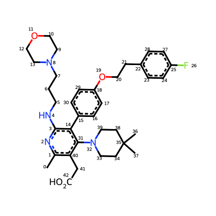 Cc1nc(NCCCN2CCOCC2)c(-c2ccc(OCCc3ccc(F)cc3)cc2)c(N2CCC(C)(C)CC2)c1CC(=O)O